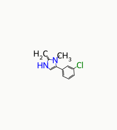 C=C1NC=C(c2cccc(Cl)c2)N1C